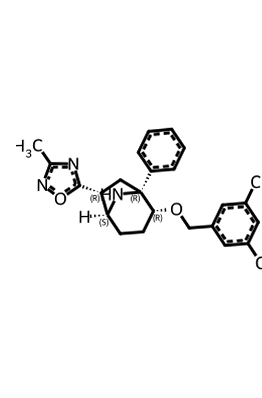 Cc1noc([C@@H]2C[C@]3(c4ccccc4)N[C@H]2CC[C@H]3OCc2cc(C(F)(F)F)cc(C(F)(F)F)c2)n1